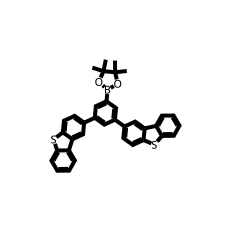 CC1(C)OB(c2cc(-c3ccc4sc5ccccc5c4c3)cc(-c3ccc4sc5ccccc5c4c3)c2)OC1(C)C